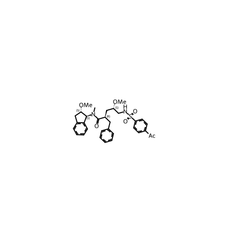 CO[C@H](CNS(=O)(=O)c1ccc(C(C)=O)cc1)C[C@@H](Cc1ccccc1)C(=O)N(C)[C@H]1c2ccccc2C[C@@H]1OC